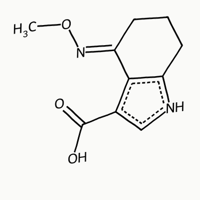 CON=C1CCCc2[nH]cc(C(=O)O)c21